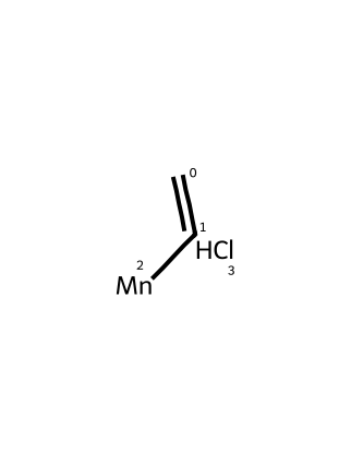 C=[CH][Mn].Cl